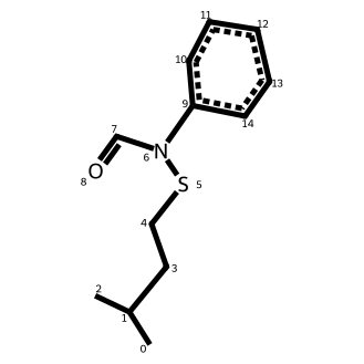 CC(C)CCSN(C=O)c1ccccc1